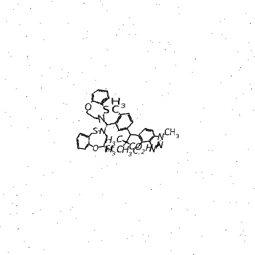 CC[C@@H]1CN([C@@H](c2cc(C(c3ccc4c(nnn4C)c3C)C(C)(C)C(=O)O)ccc2C)N2CCOc3ccccc3S2)Sc2ccccc2O1